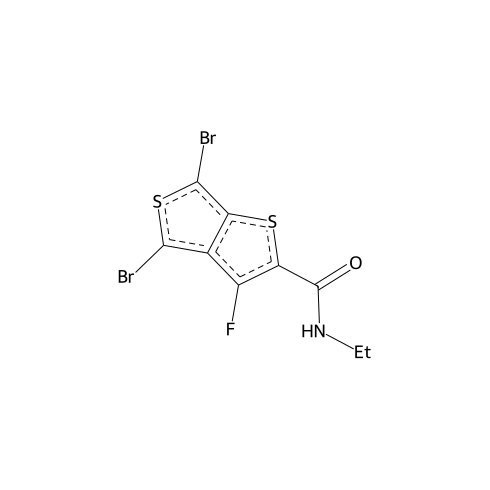 CCNC(=O)c1sc2c(Br)sc(Br)c2c1F